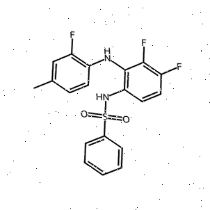 Cc1ccc(Nc2c(NS(=O)(=O)c3ccccc3)ccc(F)c2F)c(F)c1